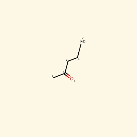 C[CH]CCC(C)=O